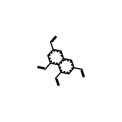 C=Cc1cc(C=C)c2c(C=C)cc(C=C)cc2c1